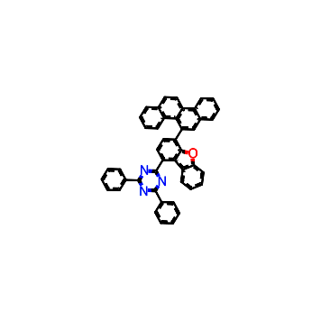 c1ccc(-c2nc(-c3ccccc3)nc(-c3ccc(-c4cc5ccccc5c5ccc6ccccc6c45)c4oc5ccccc5c34)n2)cc1